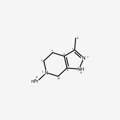 CCCN1CCc2c(C)n[nH]c2C1